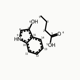 CCCC(=O)O.Oc1c[nH]c2ccccc12